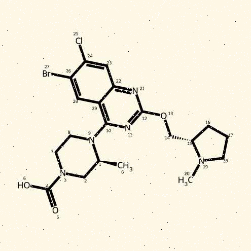 C[C@H]1CN(C(=O)O)CCN1c1nc(OC[C@@H]2CCCN2C)nc2cc(Cl)c(Br)cc12